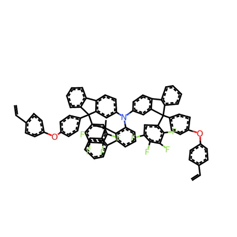 C=Cc1ccc(Oc2ccc(C3(c4cc(F)c(F)c(F)c4F)c4ccccc4-c4ccc(N(c5ccc6c(c5)C(c5ccc(Oc7ccc(C=C)cc7)cc5)(c5cc(F)c(F)c(F)c5F)c5ccccc5-6)c5cccc6c5C(C)(C)c5ccccc5-6)cc43)cc2)cc1